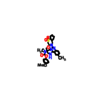 COc1ccc(OC(=O)N(C)C2(CNc3nc(N4CCS(=O)(=O)c5ccccc5C4)nc4ccc(C)cc34)COC2)cc1